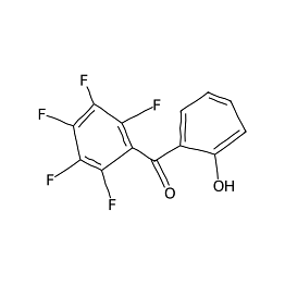 O=C(c1ccccc1O)c1c(F)c(F)c(F)c(F)c1F